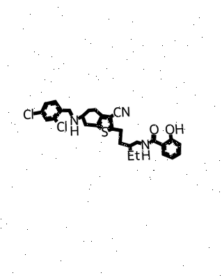 CCC(CCc1sc2c(c1C#N)CCC(NCc1ccc(Cl)cc1Cl)C2)CNC(=O)c1ccccc1O